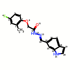 Cc1cc(F)ccc1OCC(=O)NN=Cc1ccc2cc[nH]c2c1